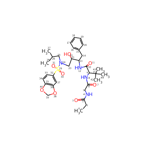 CCC(=O)NCC(=O)NC(C(=O)NC(Cc1ccccc1)C(O)CN(CC(C)C)S(=O)(=O)c1ccc2c(c1)OCO2)C(C)(C)C